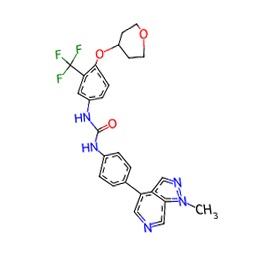 Cn1ncc2c(-c3ccc(NC(=O)Nc4ccc(OC5CCOCC5)c(C(F)(F)F)c4)cc3)cncc21